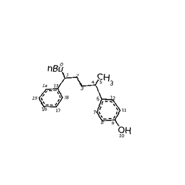 CCCCC(CCC(C)c1ccc(O)cc1)c1ccccc1